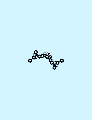 Cc1ccccc1N(c1ccc2cc3c(cc2c1)oc1c(C(C)C)c2oc4cc5cc(N(c6ccccc6C)c6ccc(-c7ccccc7)cc6C)ccc5cc4c2cc13)c1ccc(-c2ccccc2)cc1C